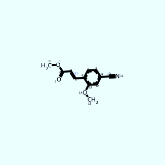 COC(=O)/C=C/c1ccc(C#N)cc1OC